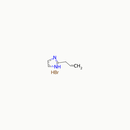 Br.C=CCc1ncc[nH]1